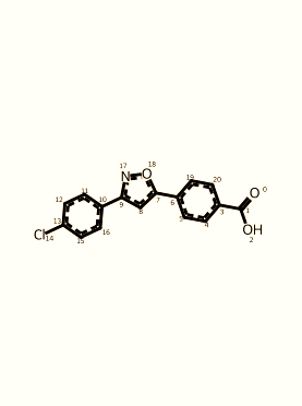 O=C(O)c1ccc(-c2cc(-c3ccc(Cl)cc3)no2)cc1